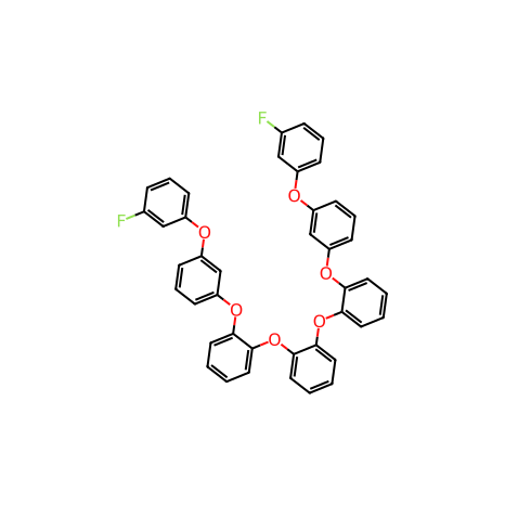 Fc1cccc(Oc2cccc(Oc3ccccc3Oc3ccccc3Oc3ccccc3Oc3cccc(Oc4cccc(F)c4)c3)c2)c1